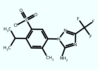 Cc1cc(C(C)C)c(S(=O)(=O)Cl)cc1-n1nc(C(F)(F)F)nc1N